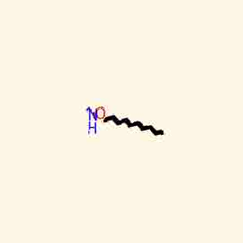 CCCCCCCCCCONC